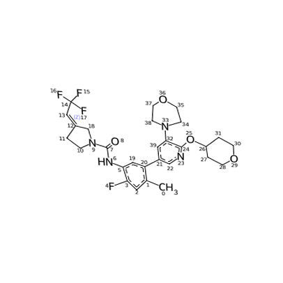 Cc1cc(F)c(NC(=O)N2CC/C(=C/C(F)(F)F)C2)cc1-c1cnc(OC2CCOCC2)c(N2CCOCC2)c1